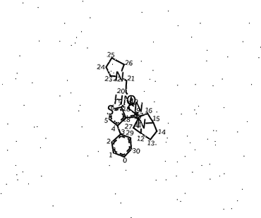 c1ccc(-c2csc3[nH]nc(N4C5CCC4CC(COCCN4CCCC4)C5)c23)cc1